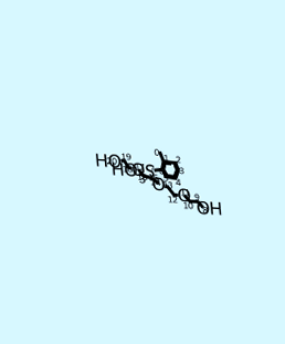 Cc1ccccc1S(=O)(=O)O.OCCOCCOCCOCCO